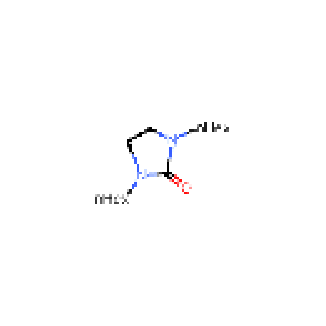 CCCCCCN1CCN(CCCCCC)C1=O